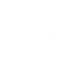 O=C1CC=Cc2ccc3nc4ccccc4cc3c21